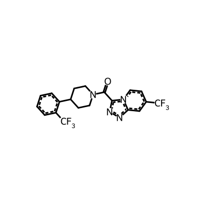 O=C(c1nnc2cc(C(F)(F)F)ccn12)N1CCC(c2ccccc2C(F)(F)F)CC1